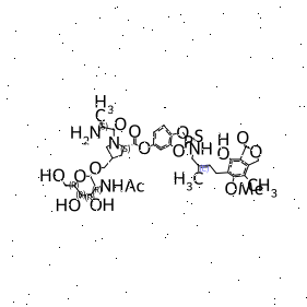 COc1c(C)c2c(c(O)c1C/C=C(\C)CNP1(=S)Oc3ccc(OC(=O)[C@@H]4CC(COC5O[C@H](CO)[C@H](O)[C@H](O)[C@H]5NC(C)=O)CN4C(=O)[C@H](C)N)cc3O1)C(=O)OC2